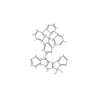 CC1(C)c2ccccc2-c2c1oc1c3ccccc3n(-c3ccc4c(c3)-c3ccccc3C4(c3ccccc3)c3ccccc3)c21